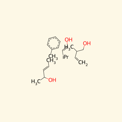 C=CC(C)CO.CC(C)C=CO.CC=CC(C)O.Cc1ccccc1